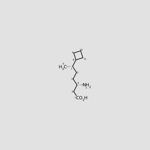 C[C@@H](CC[C@H](N)CC(=O)O)C1CCC1